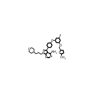 Cc1ccc(COc2cc(F)cc(Oc3ccc(-c4nn(CCCN5CCOCC5)c5ncnc(N)c45)cc3)c2)s1